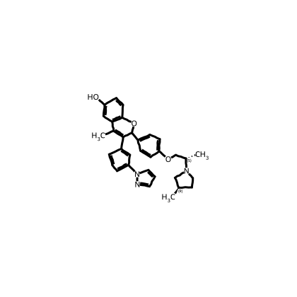 CC1=C(c2cccc(-n3cccn3)c2)C(c2ccc(OC[C@H](C)N3CC[C@@H](C)C3)cc2)Oc2ccc(O)cc21